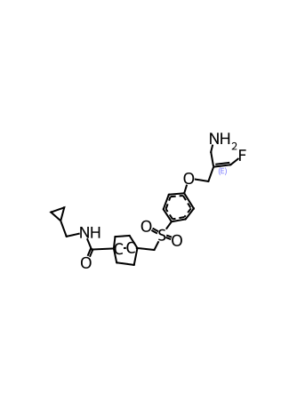 NC/C(=C\F)COc1ccc(S(=O)(=O)CC23CCC(C(=O)NCC4CC4)(CC2)CC3)cc1